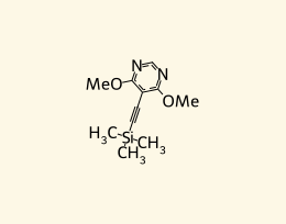 COc1ncnc(OC)c1C#C[Si](C)(C)C